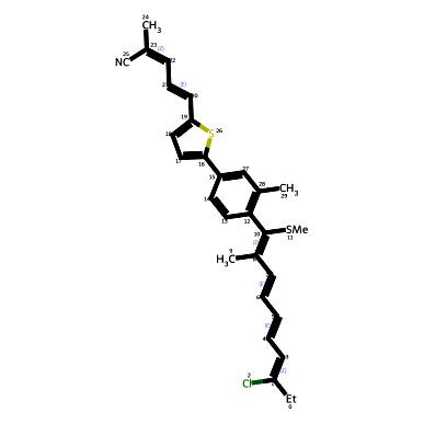 CC/C(Cl)=C/C=C/C=C/C(C)=C(\SC)c1ccc(-c2ccc(/C=C/C=C(/C)C#N)s2)cc1C